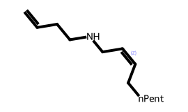 C=CCCNC/C=C\CCCCCC